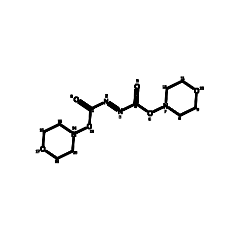 O=C(N=NC(=O)ON1CCOCC1)ON1CCOCC1